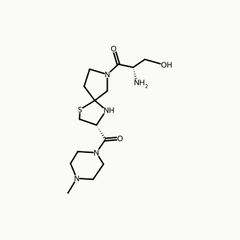 CN1CCN(C(=O)[C@@H]2CSC3(CCN(C(=O)[C@@H](N)CO)C3)N2)CC1